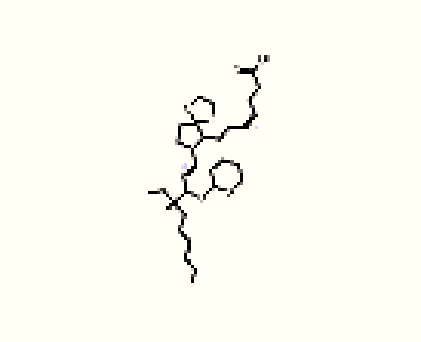 CCCCCCC(F)(CC)C(/C=C/C1CCC2(OCCO2)C1CC/C=C\CCC(=O)O)OC1CCCCO1